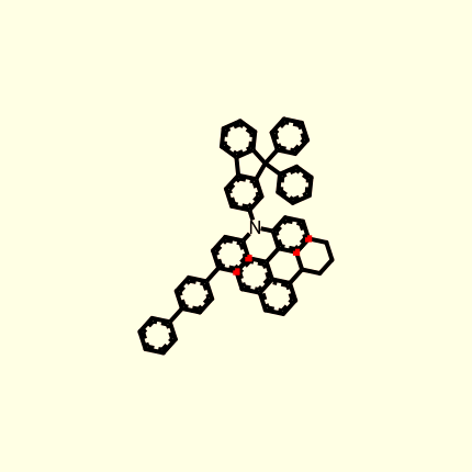 c1ccc(-c2ccc(-c3ccc(N(c4ccc5c(c4)C(c4ccccc4)(c4ccccc4)c4ccccc4-5)c4ccccc4-c4cccc5cccc(C6CCCCC6)c45)cc3)cc2)cc1